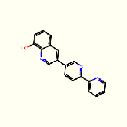 Oc1cccc2cc(-c3ccc(-c4ccccn4)nc3)cnc12